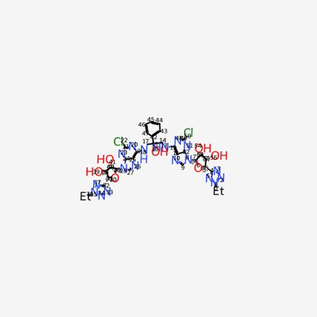 CCn1nnc([C@H]2O[C@@H](n3cnc4c(NCC(O)(CNc5nc(Cl)nc6c5ncn6[C@@H]5O[C@H](c6nnn(CC)n6)[C@@H](O)[C@H]5O)c5ccccc5)nc(Cl)nc43)[C@H](O)[C@@H]2O)n1